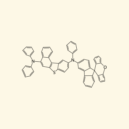 c1ccc(N(c2ccc3c(c2)-c2ccccc2C32c3ccccc3Oc3ccccc32)c2ccc3sc4cc(N(c5ccccc5)c5ccccc5)c5ccccc5c4c3c2)cc1